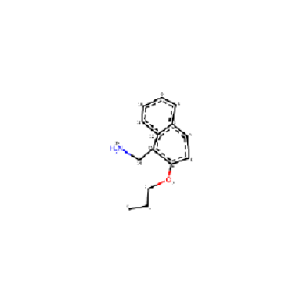 CCCOc1ccc2ccccc2c1CN